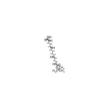 CC(C)(C)OC(=O)NCCCNCCCCNCCCNC(=O)O